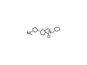 N#Cc1cccc(-c2ccc3c(=O)n(Cc4ccccc4)ccc3c2)c1